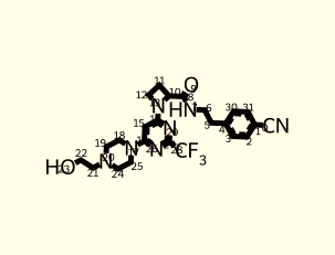 N#Cc1ccc(CCNC(=O)C2CCN2c2cc(N3CCN(CCO)CC3)nc(C(F)(F)F)n2)cc1